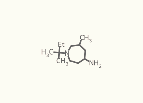 CCC(C)(C)N1CCC(N)CC(C)C1